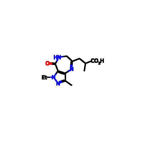 CCn1nc(C)c2c1C(=O)NCC(CC(C)C(=O)O)=N2